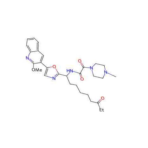 CCC(=O)CCCCCC(NC(=O)C(=O)N1CCN(C)CC1)c1ncc(-c2cc3ccccc3nc2OC)o1